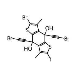 Cc1c(Br)sc2c1C(O)(C#CBr)c1sc(I)c(C)c1C2(O)C#CBr